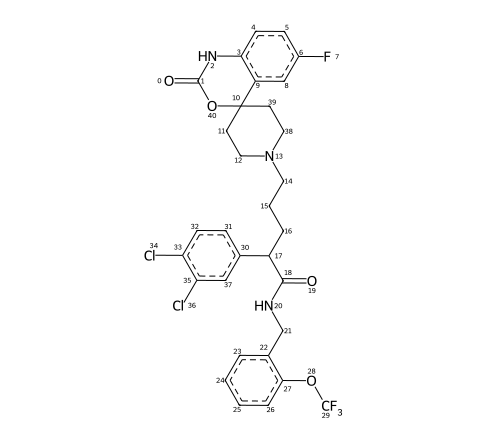 O=C1Nc2ccc(F)cc2C2(CCN(CCCC(C(=O)NCc3ccccc3OC(F)(F)F)c3ccc(Cl)c(Cl)c3)CC2)O1